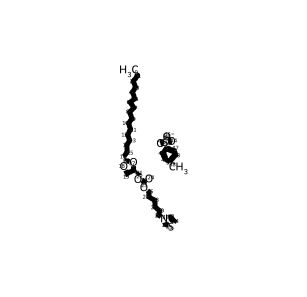 CCCCCCCCCCCCCCCCC[C@H]1OC[C@H](COC(=O)OCCCCCC[n+]2ccsc2)O1.Cc1ccc(S(=O)(=O)[O-])cc1